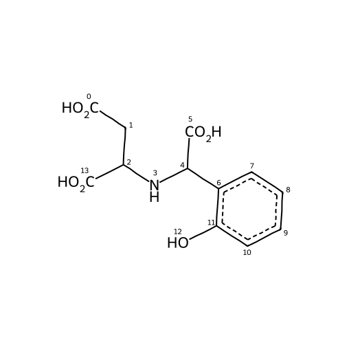 O=C(O)CC(NC(C(=O)O)c1ccccc1O)C(=O)O